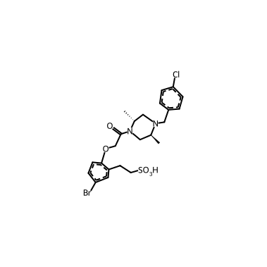 C[C@@H]1CN(Cc2ccc(Cl)cc2)[C@@H](C)CN1C(=O)COc1ccc(Br)cc1CCS(=O)(=O)O